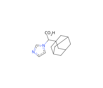 O=C(O)C(n1ccnc1)C12CC3CC(CC(C3)C1)C2